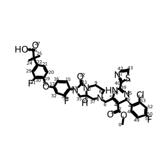 COC(=O)C1=C(CN2CCN3C(=O)N(c4ccc(Oc5ccc(C(C)(C)C(=O)O)cc5F)cc4F)C[C@@H]3C2)NC(c2nccs2)=N[C@H]1c1ccc(F)cc1Cl